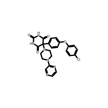 O=C1NC(=O)C(c2ccc(Oc3ccc(Cl)cc3)cc2)(N2CCN(c3cnccn3)CC2)C(=O)N1